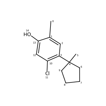 Cc1cc(C2(C)CCCC2)c(Cl)cc1O